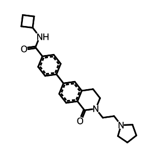 O=C(NC1CCC1)c1ccc(-c2ccc3c(c2)CCN(CCN2CCCC2)C3=O)cc1